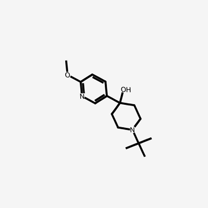 COc1ccc(C2(O)CCN(C(C)(C)C)CC2)cn1